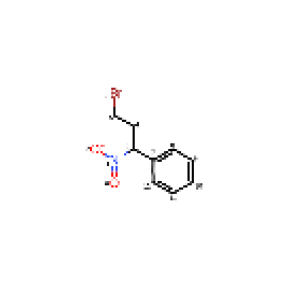 O=[N+]([O-])C(CCBr)c1ccccc1